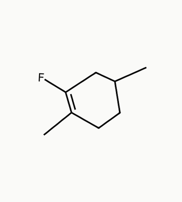 CC1=C(F)CC(C)CC1